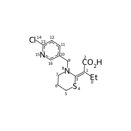 CC/C(C(=O)O)=C1\SCCCN1Cc1ccc(Cl)nc1